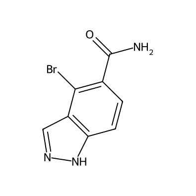 NC(=O)c1ccc2[nH]ncc2c1Br